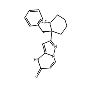 O=C(O)N1CCCC[C@]1(Cc1ccccc1)c1cc2[nH]c(=O)ccn2n1